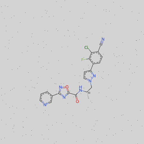 C[C@@H](Cn1ccc(-c2ccc(C#N)c(Cl)c2F)n1)NC(=O)c1nc(-c2cccnc2)no1